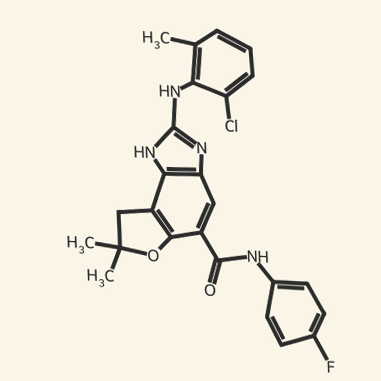 Cc1cccc(Cl)c1Nc1nc2cc(C(=O)Nc3ccc(F)cc3)c3c(c2[nH]1)CC(C)(C)O3